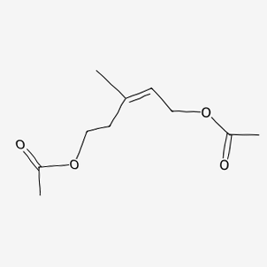 CC(=O)OCC=C(C)CCOC(C)=O